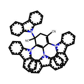 N#CC1=C(n2c3ccccc3c3ccccc32)C(n2c3ccccc3c3ccccc32)=C(n2c3ccccc3c3ccccc32)C(C#N)(n2c3ccccc3c3ccccc32)C1